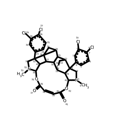 CN1CC2(c3ccc(Cl)c(Cl)c3)C3CCC4C5C6CCC(C53)C3(c5ccc(Cl)c(Cl)c5)CN(C)C(OC(=O)/C=C\C(=O)OC1C42)C63